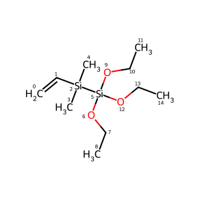 C=C[Si](C)(C)[Si](OCC)(OCC)OCC